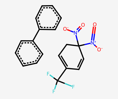 O=[N+]([O-])C1([N+](=O)[O-])C=CC(C(F)(F)F)=CC1.c1ccc(-c2ccccc2)cc1